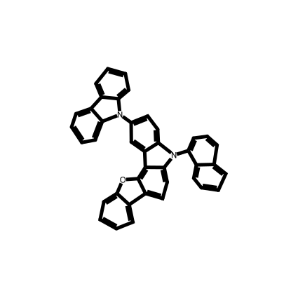 c1ccc2c(-n3c4ccc(-n5c6ccccc6c6ccccc65)cc4c4c5oc6ccccc6c5ccc43)cccc2c1